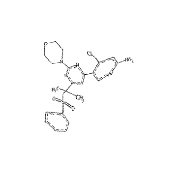 CC(C)(c1cc(-c2cnc(N)cc2Cl)nc(N2CCOCC2)n1)S(=O)(=O)c1ccccc1